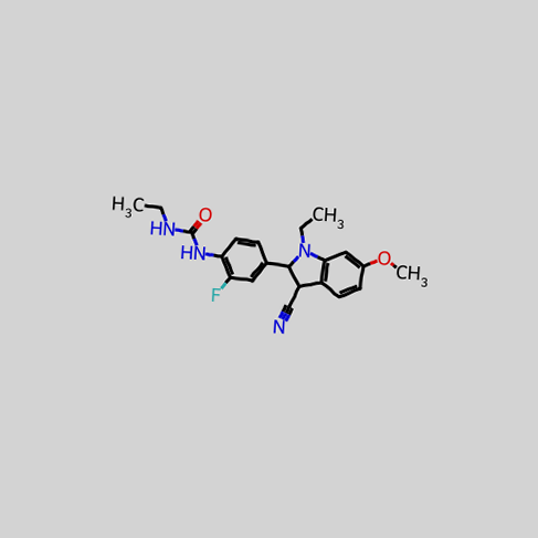 CCNC(=O)Nc1ccc(C2C(C#N)c3ccc(OC)cc3N2CC)cc1F